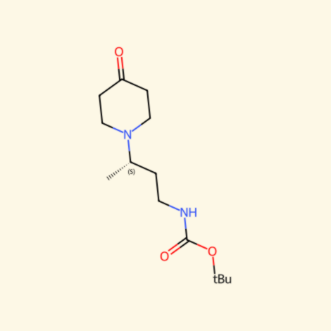 C[C@@H](CCNC(=O)OC(C)(C)C)N1CCC(=O)CC1